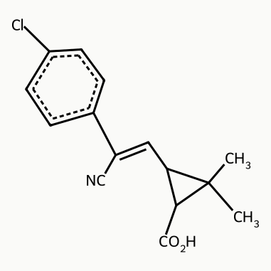 CC1(C)C(C=C(C#N)c2ccc(Cl)cc2)C1C(=O)O